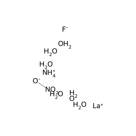 O.O.O.O.O.O.O=[N+]([O-])[O-].[F-].[La+].[NH4+]